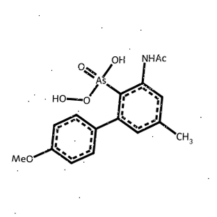 COc1ccc(-c2cc(C)cc(NC(C)=O)c2[As](=O)(O)OO)cc1